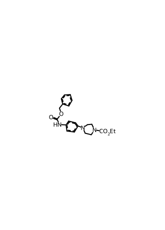 CCOC(=O)N1CCN(c2ccc(NC(=O)OCc3ccccc3)cc2)CC1